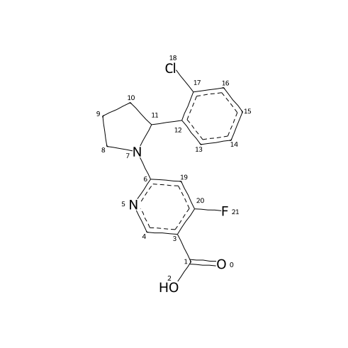 O=C(O)c1cnc(N2CCCC2c2ccccc2Cl)cc1F